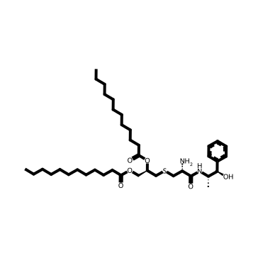 CCCCCCCCCCCC(=O)OC[C@H](CSC[C@H](N)C(=O)N[C@@H](C)[C@H](O)c1ccccc1)OC(=O)CCCCCCCCCCC